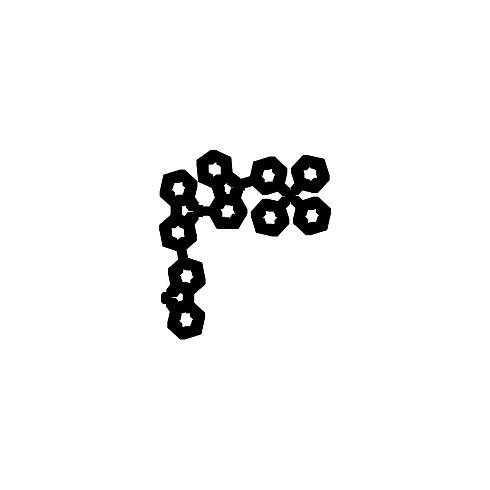 c1ccc([Si](c2ccccc2)(c2ccccc2)c2cccc(-n3c4ccccc4c4c(-n5c6ccccc6c6ccc(-c7ccc8c(c7)oc7ccccc78)cc65)cccc43)c2)cc1